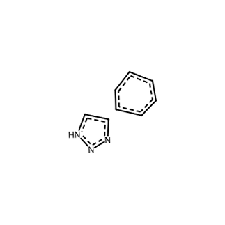 c1c[nH]nn1.c1ccccc1